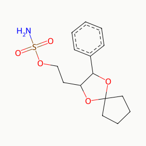 NS(=O)(=O)OCCC1OC2(CCCC2)OC1c1ccccc1